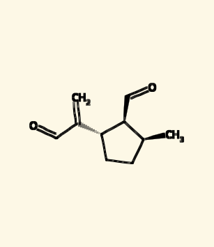 C=C(C=O)[C@H]1CC[C@H](C)[C@@H]1C=O